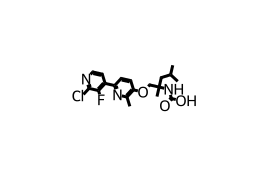 Cc1nc(-c2ccnc(Cl)c2F)ccc1OCC(C)(CC(C)C)NC(=O)O